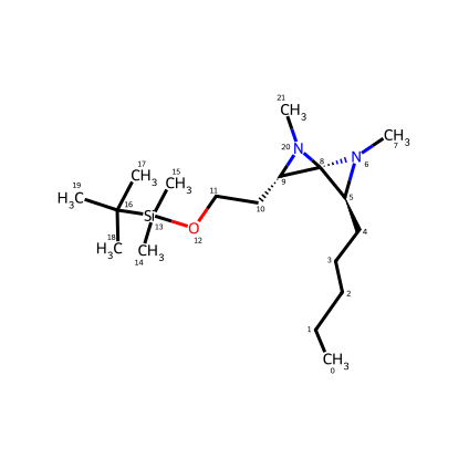 CCCCC[C@@H]1N(C)[C@@]12[C@H](CCO[Si](C)(C)C(C)(C)C)N2C